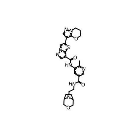 Cc1ncc(C(=O)NCCN2C3CCC2COC3)cc1NC(=O)c1cnn2cc(-c3cnn4c3OCCC4)sc12